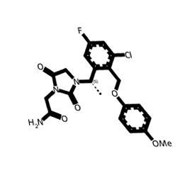 COc1ccc(OCc2c(Cl)cc(F)cc2[C@H](C)N2CC(=O)N(CC(N)=O)C2=O)cc1